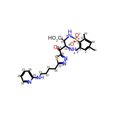 Cc1cc(C)c(S(=O)(=O)N[C@H](C(=O)O)C(N)C(=O)c2nnc(CCCCNc3ccccn3)s2)c(C)c1